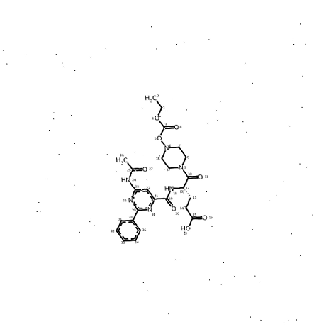 CCOC(=O)ON1CCN(C(=O)[C@H](CCC(=O)O)NC(=O)c2cc(NC(C)=O)nc(-c3ccccc3)n2)CC1